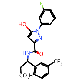 O=C(O)CC(NC(=O)c1cc(O)n(-c2cccc(F)c2)n1)c1cccc(C(F)(F)F)c1